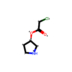 O=C(CCl)O[C@@H]1CCNC1